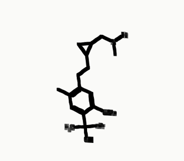 CCCC(O)(c1cc(C)c(CCC2CC2CN(C)CC)cc1OC)C(F)(F)F